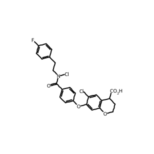 O=C(O)C1CCOc2cc(Oc3ccc(C(=O)N(Cl)CCc4ccc(F)cc4)cc3)c(Cl)cc21